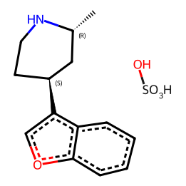 C[C@@H]1C[C@@H](c2coc3ccccc23)CCN1.O=S(=O)(O)O